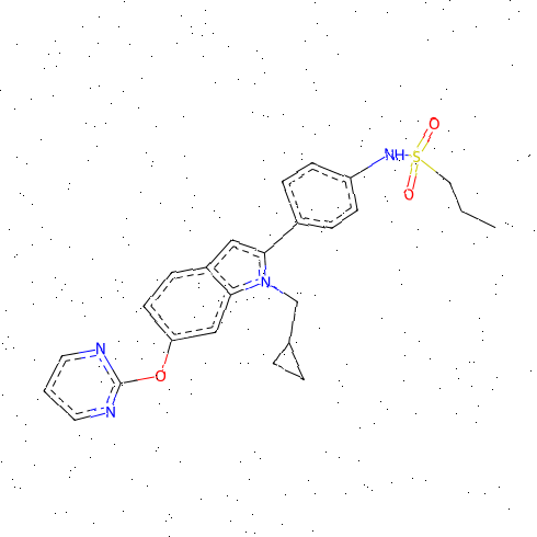 CCCS(=O)(=O)Nc1ccc(-c2cc3ccc(Oc4ncccn4)cc3n2CC2CC2)cc1